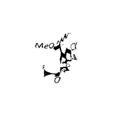 COC[C@@](C)(N=[N+]=[N-])c1cnc(OC2CN(C(=O)[C@H]3C[C@H]3F)C2)c2cnc(Cl)cc12